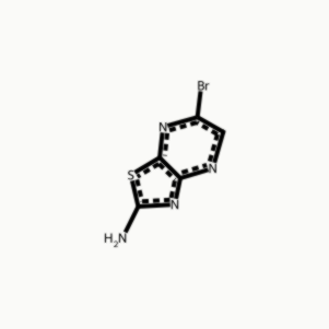 Nc1nc2ncc(Br)nc2s1